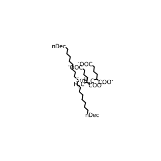 CC(CCCC(=O)[O-])C(=O)[O-].CC(CCCC(=O)[O-])C(=O)[O-].CCCCCCCCCCCCCCCCC[CH2][Sn+4][CH2]CCCCCCCCCCCCCCCCC